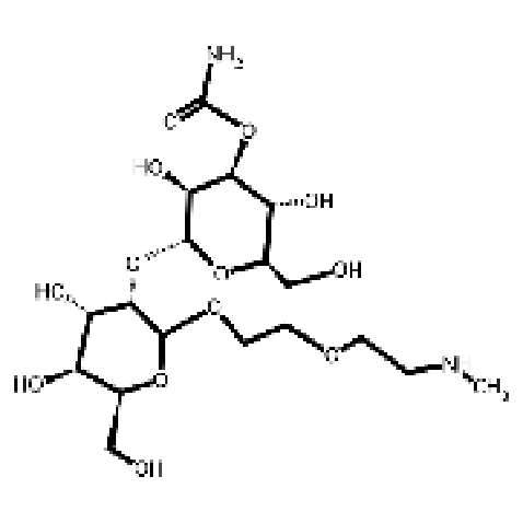 CNCCOCCOC1O[C@@H](CO)[C@@H](O)[C@H](O)[C@@H]1O[C@H]1O[C@H](CO)[C@@H](O)[C@H](OC(N)=O)[C@@H]1O